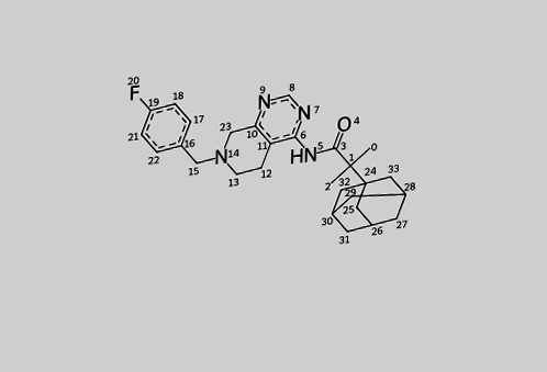 CC(C)(C(=O)Nc1ncnc2c1CCN(Cc1ccc(F)cc1)C2)C12CC3CC(CC(C3)C1)C2